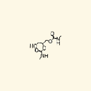 CNC(=O)OC[C@H](CO)OC(=O)NC